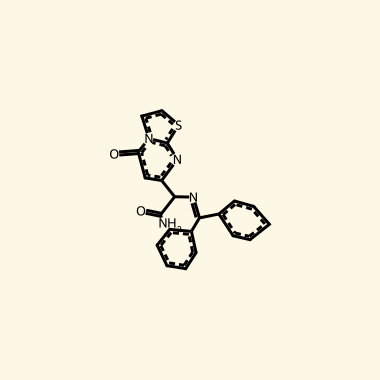 NC(=O)C(N=C(c1ccccc1)c1ccccc1)c1cc(=O)n2ccsc2n1